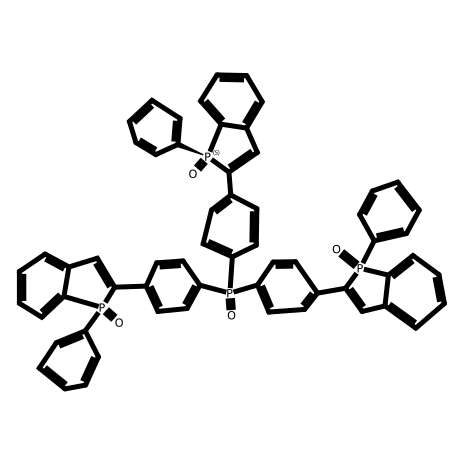 O=P1(c2ccccc2)C(c2ccc(P(=O)(c3ccc(C4=Cc5ccccc5P4(=O)c4ccccc4)cc3)c3ccc(C4=Cc5ccccc5[P@]4(=O)c4ccccc4)cc3)cc2)=Cc2ccccc21